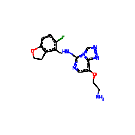 NCCOc1cnc(NCc2c(F)ccc3c2CCO3)n2cnnc12